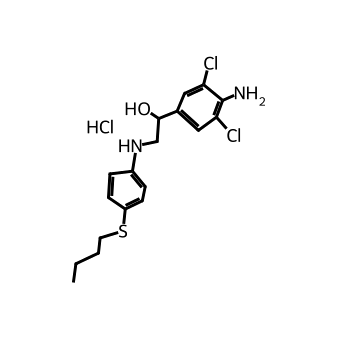 CCCCSc1ccc(NCC(O)c2cc(Cl)c(N)c(Cl)c2)cc1.Cl